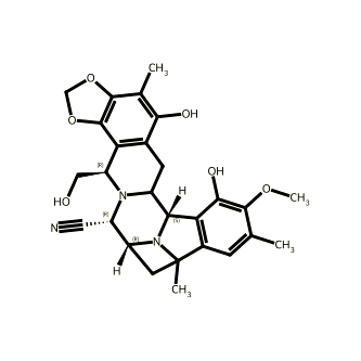 COc1c(C)cc2c(c1O)[C@H]1C3Cc4c(O)c(C)c5c(c4[C@H](CO)N3[C@@H](C#N)[C@H]3CC2(C)N31)OCO5